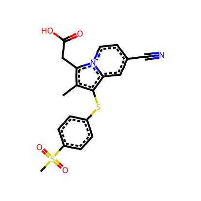 Cc1c(Sc2ccc(S(C)(=O)=O)cc2)c2cc(C#N)ccn2c1CC(=O)O